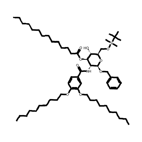 CCCCCCCCCCCCCC(=O)O[C@H]1[C@H](O)[C@@H](CO[Si](C)(C)C(C)(C)C)O[C@@H](OCc2ccccc2)[C@@H]1NC(=O)c1ccc(OCCCCCCCCCC)c(OCCCCCCCCCC)c1